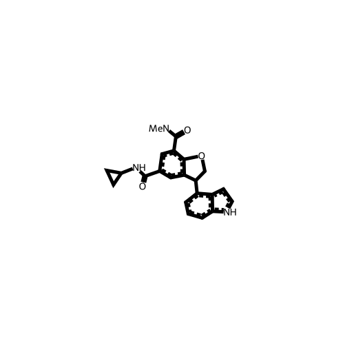 CNC(=O)c1cc(C(=O)NC2CC2)cc2c1OCC2c1cccc2[nH]ccc12